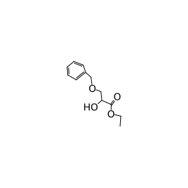 CCOC(=O)C(O)COCc1ccccc1